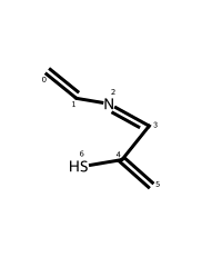 C=C/N=C\C(=C)S